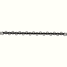 OCCOCCOCCOCCOCCOCCOCCOCCOCCOCCOCCOCCOCCOCCOCCOCCOCCOCCO